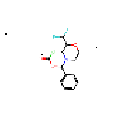 O=C(Cl)OC(c1ccccc1)N1CCOC(C(F)F)C1